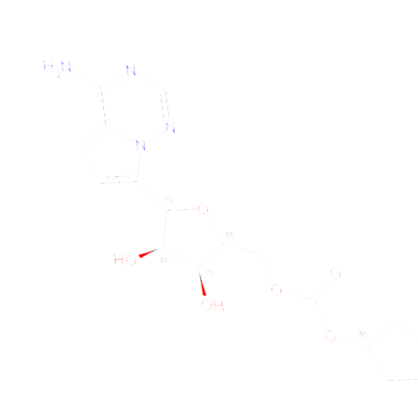 Nc1ncnn2c([C@@H]3O[C@H](COC(=O)O[C@@H]4CCOC4)[C@@H](O)[C@H]3O)ccc12